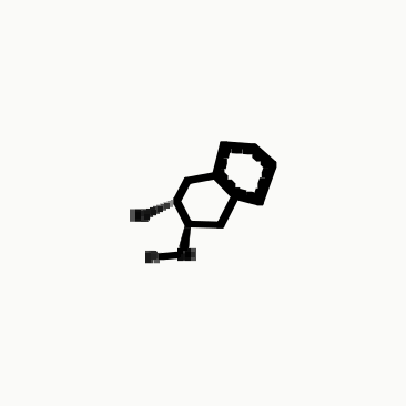 CC(C)N[C@@H]1Cc2ccccc2C[C@H]1O